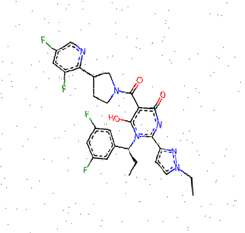 CC[C@@H](c1cc(F)cc(F)c1)n1c(-c2ccn(CC)n2)nc(=O)c(C(=O)N2CCC(c3ncc(F)cc3F)C2)c1O